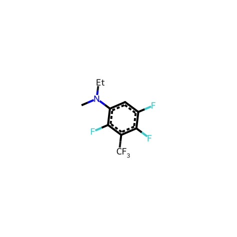 CCN(C)c1cc(F)c(F)c(C(F)(F)F)c1F